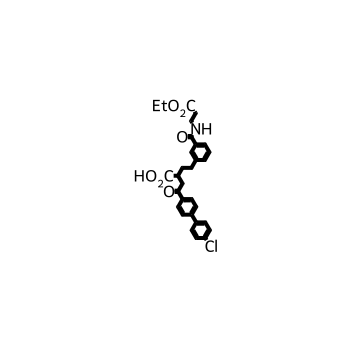 CCOC(=O)CCNC(=O)c1cccc(CCC(CC(=O)c2ccc(-c3ccc(Cl)cc3)cc2)C(=O)O)c1